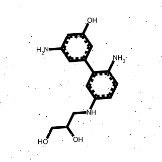 Nc1cc(O)cc(-c2cc(NCC(O)CO)ccc2N)c1